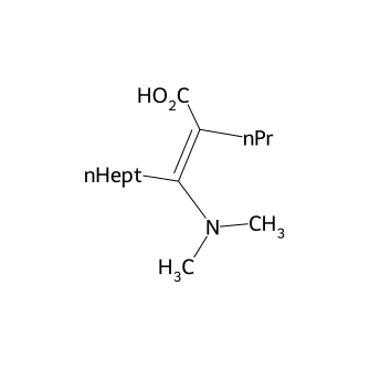 CCCCCCC/C(=C(/CCC)C(=O)O)N(C)C